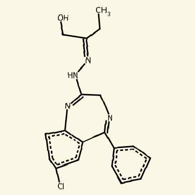 CCC(CO)=NNC1=Nc2ccc(Cl)cc2C(c2ccccc2)=NC1